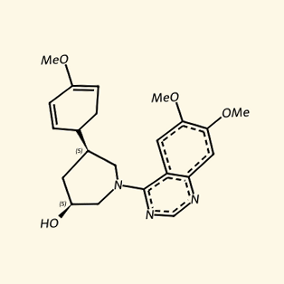 COC1=CCC([C@@H]2C[C@H](O)CN(c3ncnc4cc(OC)c(OC)cc34)C2)C=C1